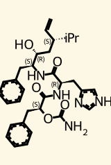 C=C[C@@H](C[C@@H](O)[C@H](Cc1ccccc1)NC(=O)[C@@H](Cc1c[nH]cn1)NC(=O)[C@H](Cc1ccccc1)OC(N)=O)C(C)C